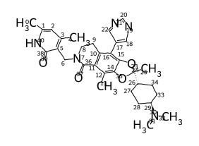 Cc1cc(C)c(CN2CCc3c(c(C)c4c(c3-c3cncnc3)OC(C)([C@H]3CC[C@H](N(C)C)CC3)O4)C2=O)c(=O)[nH]1